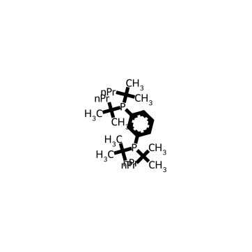 CCCC(C)(C)P(c1cccc(P(C(C)(C)CCC)C(C)(C)CCC)c1)C(C)(C)CCC